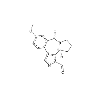 COc1ccc2c(c1)C(=O)N1CCC[C@H]1c1c(C=O)ncn1-2